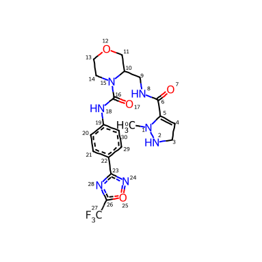 CN1NCC=C1C(=O)NCC1COCCN1C(=O)Nc1ccc(-c2noc(C(F)(F)F)n2)cc1